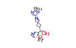 CCOc1ccncc1C(O)C1CC2(C1)CN(c1cnc(C(C)(C)C)nc1)C2